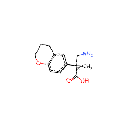 C[C@@](CN)(C(=O)O)c1ccc2c(c1)CCCO2